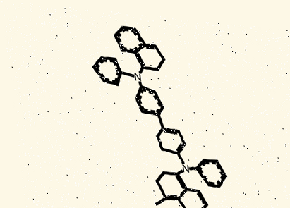 CC1=C2CCC=CC2=C(N(C2=CC=C(c3ccc(N(C4=c5ccccc5=CCC4)c4ccccc4)cc3)CC2)c2ccccc2)CC1